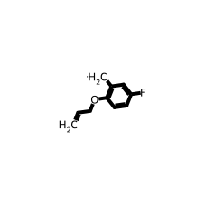 [CH2]c1cc(F)ccc1OCC=C